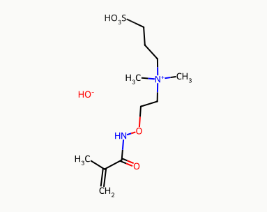 C=C(C)C(=O)NOCC[N+](C)(C)CCCS(=O)(=O)O.[OH-]